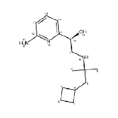 CC(C)(CC1CCC1)NC[C@H](O)c1cccc(N)n1